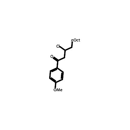 CCCCCCCCCC(Cl)CC(=O)c1ccc(OC)cc1